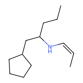 C/C=C\NC(CCC)CC1CCCC1